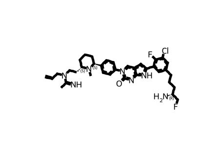 C=CCN(CC[C@@H]1CCC[C@@H](c2ccc(-n3cc4cc(-c5cc(CCC[C@@H](N)CF)cc(Cl)c5F)[nH]c4nc3=O)cc2)N1C)C(C)=N